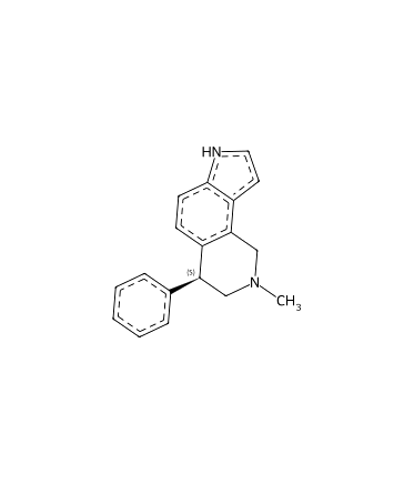 CN1Cc2c(ccc3[nH]ccc23)[C@H](c2ccccc2)C1